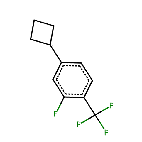 Fc1cc([C]2CCC2)ccc1C(F)(F)F